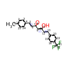 Cc1ccc(/C=C/C(=O)/C=C(O)/C=C/c2ccc(C(F)(F)F)cc2)cc1